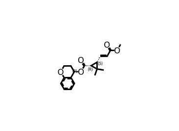 COC(=O)C=C[C@H]1[C@@H](C(=O)O[C@@H]2CCOc3ccccc32)C1(C)C